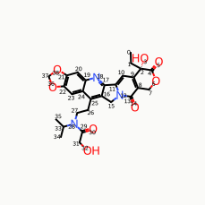 CC[C@@]1(O)C(=O)OCc2c1cc1n(c2=O)Cc2c-1nc1cc3c(cc1c2CCN(C(=O)CO)C(C)C)OCO3